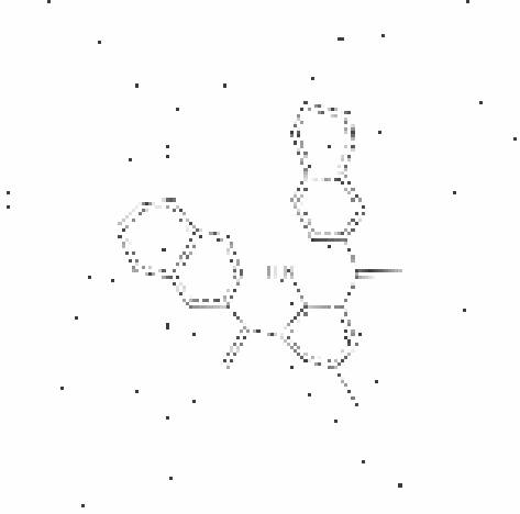 C=C(c1ccc2ccccc2c1)c1cc(C)cc(C(=C)c2ccc3ccccc3c2)c1N